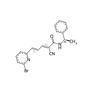 C[C@@H](NC(=O)/C(C#N)=C/C=C/c1cccc(Br)n1)c1ccccc1